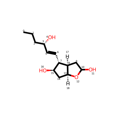 CCC[C@H](O)/C=C/[C@@H]1[C@H]2CC(O)O[C@H]2C[C@H]1O